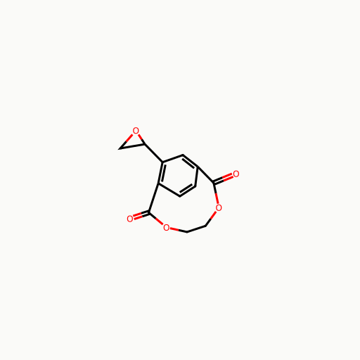 O=C1OCCOC(=O)c2ccc1cc2C1CO1